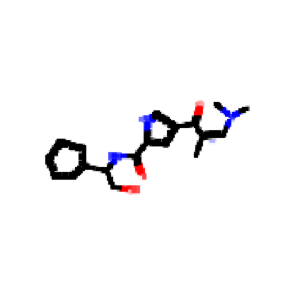 C/C(=C/N(C)C)C(=O)c1c[nH]c(C(=O)NC(CO)c2ccccc2)c1